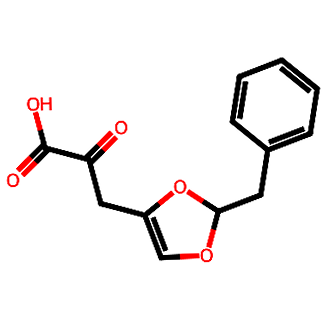 O=C(O)C(=O)CC1=COC(Cc2ccccc2)O1